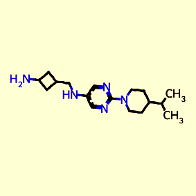 CC(C)C1CCN(c2ncc(NCC3CC(N)C3)cn2)CC1